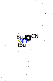 CCC(C)C(NSC(C)(C)C)c1ccc(C#N)cc1